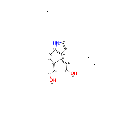 OCC=c1ccc2[nH]ccc2c1=CCO